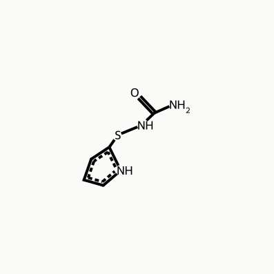 NC(=O)NSc1ccc[nH]1